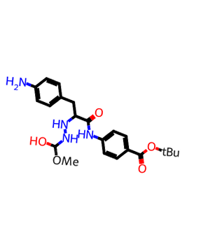 COC(O)NNC(Cc1ccc(N)cc1)C(=O)Nc1ccc(C(=O)OC(C)(C)C)cc1